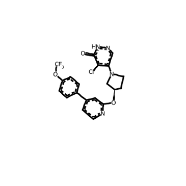 O=c1[nH]ncc(N2CC[C@@H](Oc3cc(-c4ccc(OC(F)(F)F)cc4)ccn3)C2)c1Cl